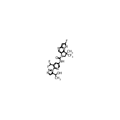 CC(O)c1cnnn1-c1ncc(NC(=O)N2C[C@@](C)(C(F)(F)F)c3c2cnc2cc(F)nn32)cc1C(F)F